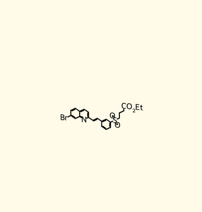 CCOC(=O)CCCS(=O)(=O)c1cccc(/C=C/c2ccc3ccc(Br)cc3n2)c1